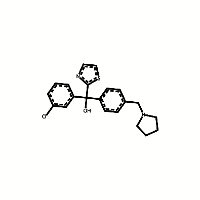 OC(c1ccc(CN2CCCC2)cc1)(c1cccc(Cl)c1)c1nccs1